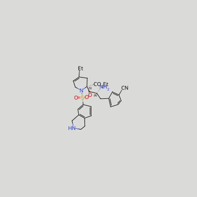 CCOC(=O)[C@@]1(C(=O)[C@H](N)Cc2cccc(C#N)c2)CC(CC)=CCN1S(=O)(=O)c1ccc2c(c1)CNCC2